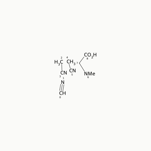 C#N.CC#N.CC#N.CNCC(=O)O